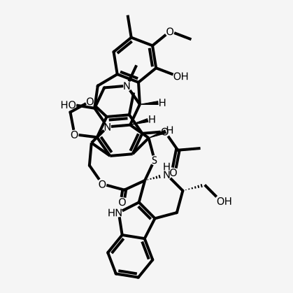 COc1c(C)cc2c(c1O)[C@@H]1[C@@H]3[C@@H]4S[C@]5(N[C@H](CO)Cc6c5[nH]c5ccccc65)C(=O)OCC(c5c6c(c(C)c(OC(C)=O)c54)OCO6)N3C(O)(C2)CN1C